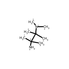 CN(C)C(C)(C)C(C)(C)N